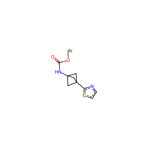 CC(C)OC(=O)NC12CC(c3nccs3)(C1)C2